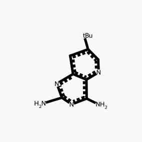 CC(C)(C)c1cnc2c(N)nc(N)nc2c1